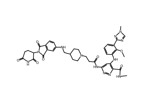 CNC(=O)c1nnc(NC(=O)CCN2CCC(CNc3ccc4c(c3)C(=O)N(C3CCC(=O)NC3=O)C4=O)CC2)cc1Nc1cccc(-c2ncn(C)n2)c1OC